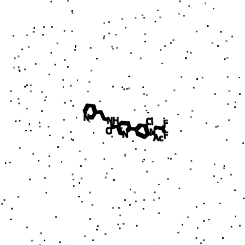 CC(=O)N(CC(F)F)c1ccc(-c2ccc(C(=O)NCCc3cccnc3)cn2)cc1Cl